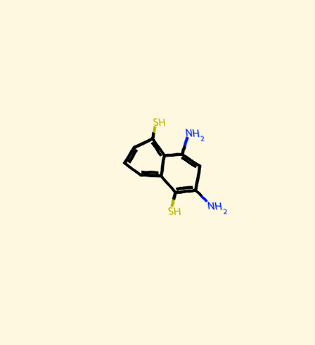 Nc1cc(N)c2c(S)cccc2c1S